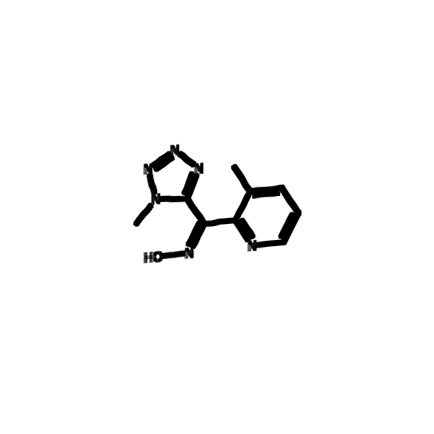 Cc1cccnc1/C(=N/O)c1nnnn1C